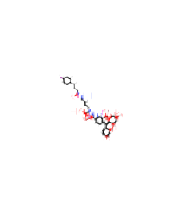 O=C(CCCc1ccc(I)cc1)NCCCC[C@@H](NC(=O)c1ccc(-c2c3ccc(=O)cc-3oc3cc(O)ccc23)c(C(=O)O)c1)C(=O)O